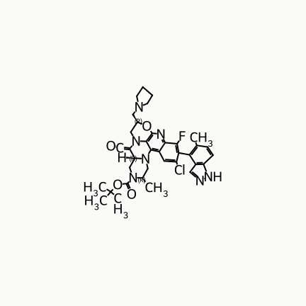 Cc1ccc2[nH]ncc2c1-c1c(Cl)cc2c3c4c(nc2c1F)O[C@H](CN1CCCC1)CN4C(=C=O)[C@H]1CN(C(=O)OC(C)(C)C)[C@H](C)CN31